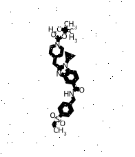 CCS(=O)(=O)c1ccc(CNC(=O)c2ccc3c(c2)nc(CC2CCN(C(=O)OC(C)(C)C)CC2)n3C2CC2)cc1